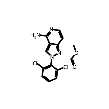 COC=O.Nc1nccc2nn(-c3c(Cl)cccc3Cl)cc12